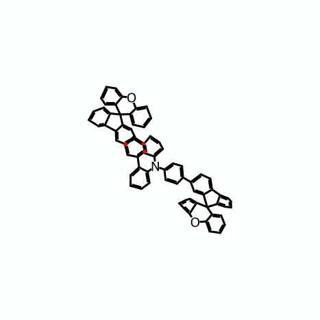 c1ccc(-c2ccccc2N(c2ccc(-c3ccc4c(c3)C3(c5ccccc5Oc5ccccc53)c3ccccc3-4)cc2)c2cccc(-c3ccc4c(c3)C3(c5ccccc5Oc5ccccc53)c3ccccc3-4)c2)cc1